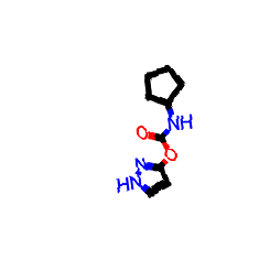 O=C(NC1CCCC1)Oc1cc[nH]n1